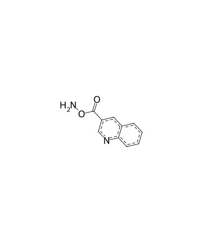 NOC(=O)c1cnc2ccccc2c1